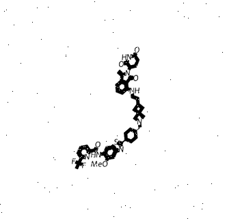 C=C1c2cccc(NCCC3CC4(C3)CN(C[C@H]3CC[C@H](c5nc6cc(OC)c(NC(=O)c7cccc(C(C)(F)F)n7)cc6s5)CC3)C4)c2C(=O)N1C1CCC(=O)NC1=O